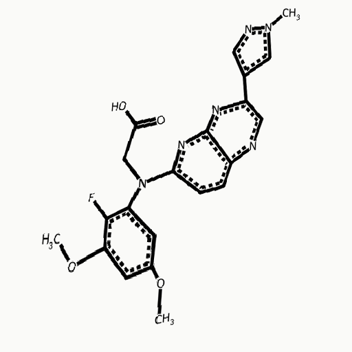 COc1cc(OC)c(F)c(N(CC(=O)O)c2ccc3ncc(-c4cnn(C)c4)nc3n2)c1